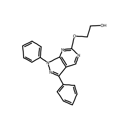 OCCOc1ncc2c(-c3ccccc3)nn(-c3ccccc3)c2n1